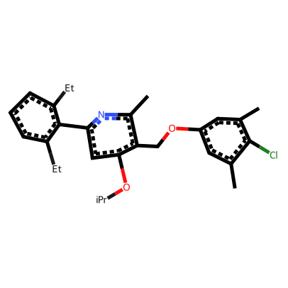 CCc1cccc(CC)c1-c1cc(OC(C)C)c(COc2cc(C)c(Cl)c(C)c2)c(C)n1